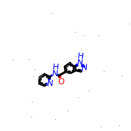 O=C(Nc1ccccn1)c1ccc2[nH]ncc2c1